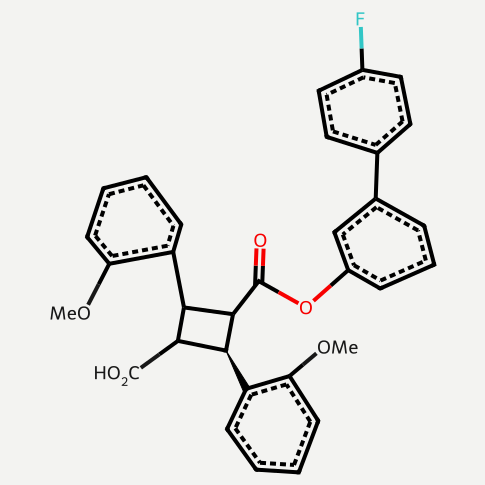 COc1ccccc1C1C(C(=O)O)[C@H](c2ccccc2OC)C1C(=O)Oc1cccc(-c2ccc(F)cc2)c1